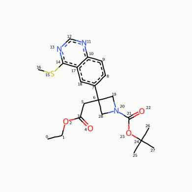 CCOC(=O)CC1(c2ccc3ncnc(SC)c3c2)CN(C(=O)OC(C)(C)C)C1